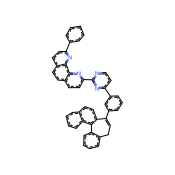 C1=C(c2cccc(-c3ccnc(-c4ccc5ccc6ccc(-c7ccccc7)nc6c5n4)n3)c2)c2ccc3ccccc3c2-c2ccccc2C1